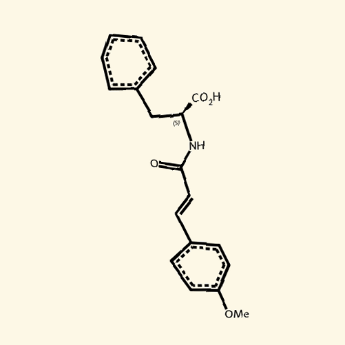 COc1ccc(C=CC(=O)N[C@@H](Cc2ccccc2)C(=O)O)cc1